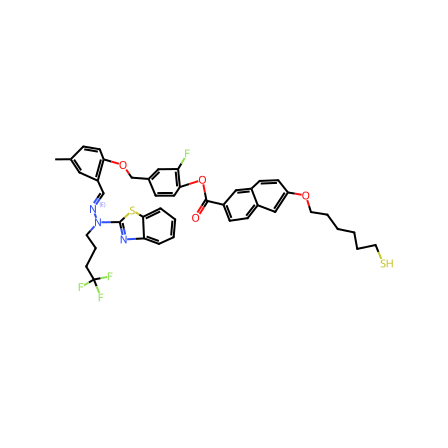 Cc1ccc(OCc2ccc(OC(=O)c3ccc4cc(OCCCCCCS)ccc4c3)c(F)c2)c(/C=N/N(CCCC(F)(F)F)c2nc3ccccc3s2)c1